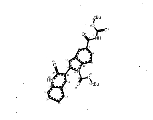 CC(C)(C)OC(=O)NC(=O)c1ccc2c(c1)cc(-c1cc3ccccc3[nH]c1=O)n2C(=O)OC(C)(C)C